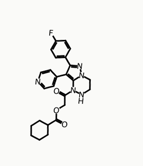 O=C(OCC(=O)N1NCCn2nc(-c3ccc(F)cc3)c(-c3ccncc3)c21)C1CCCCC1